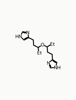 CCC(CCc1c[nH]cn1)OC(CC)CCc1c[nH]cn1